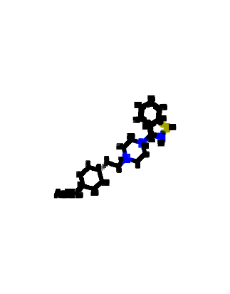 CC(=O)N[C@H]1CC[C@H](CCN2CCN(c3nsc4ccccc34)CC2)CC1